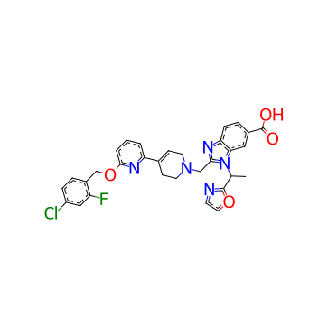 CC(c1ncco1)n1c(CN2CC=C(c3cccc(OCc4ccc(Cl)cc4F)n3)CC2)nc2ccc(C(=O)O)cc21